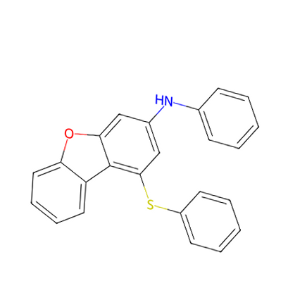 c1ccc(Nc2cc(Sc3ccccc3)c3c(c2)oc2ccccc23)cc1